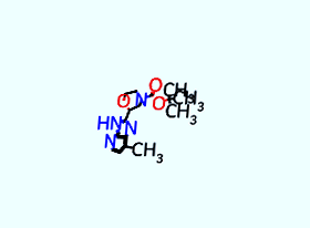 Cc1ccnc2[nH]c(C3CN(C(=O)OC(C)(C)C)CCO3)nc12